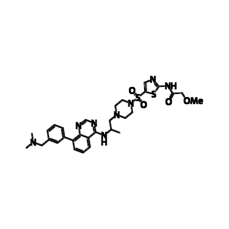 COCC(=O)Nc1ncc(S(=O)(=O)N2CCN(CC(C)Nc3ncnc4c(-c5cccc(CN(C)C)c5)cccc34)CC2)s1